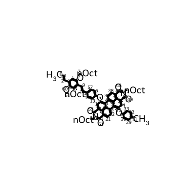 C/C=C/c1cc(OCCCCCCCC)c(/C=C/c2ccc(Oc3cc4c5c(ccc6c7c(Oc8ccc(C)cc8)cc8c9c(ccc(c3c56)c97)C(=O)N(CCCCCCCC)C8=O)C(=O)N(CCCCCCCC)C4=O)cc2)cc1OCCCCCCCC